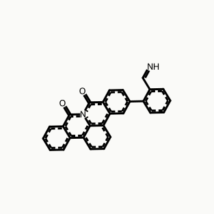 N=Cc1ccccc1-c1ccc2c(=O)n3c(=O)c4ccccc4c4cccc(c2c1)c43